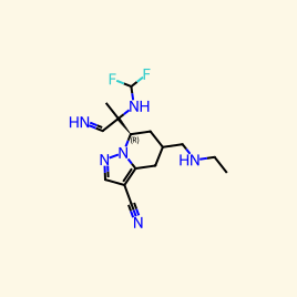 CCNCC1Cc2c(C#N)cnn2[C@@H](C(C)(C=N)NC(F)F)C1